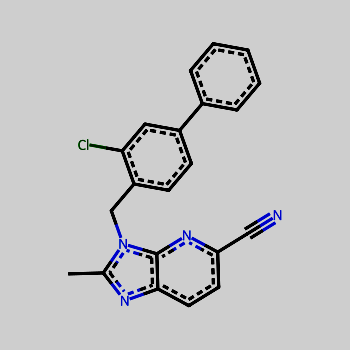 Cc1nc2ccc(C#N)nc2n1Cc1ccc(-c2ccccc2)cc1Cl